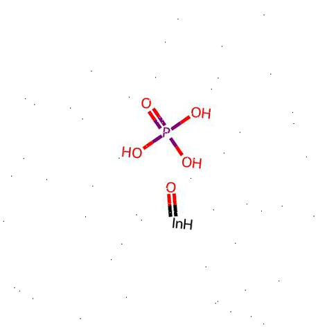 O=P(O)(O)O.[O]=[InH]